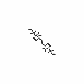 C=C[Si](C)(C)N1CCN(CCN2CCN([Si](C)(C)C=C)[Si]2(C)C)[Si]1(C)C